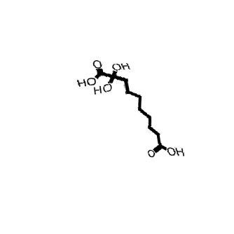 O=C(O)CCCCCCCC(O)(O)C(=O)O